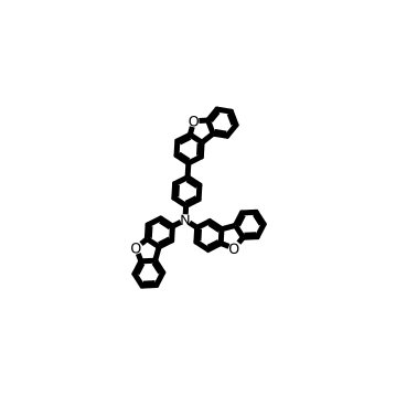 c1ccc2c(c1)oc1ccc(-c3ccc(N(c4ccc5oc6ccccc6c5c4)c4ccc5oc6ccccc6c5c4)cc3)cc12